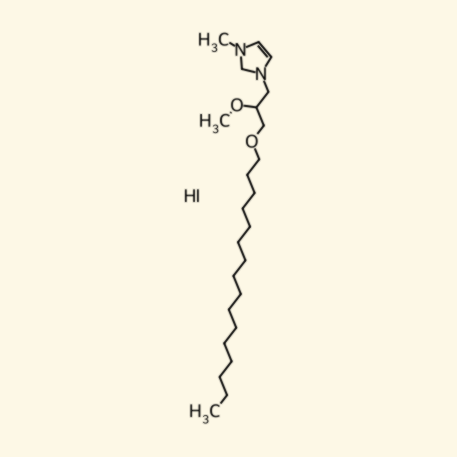 CCCCCCCCCCCCCCCCOCC(CN1C=CN(C)C1)OC.I